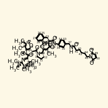 CC[C@H](C)[C@@H]([C@@H](CC(=O)N1CCC[C@H]1[C@H](OC)[C@@H](C)C(=O)N[C@@H](Cc1ccccc1)C(=O)Nc1ccc(CNC(=O)CCCCCN2C(=O)C=CC2=O)cc1)OC)N(C)C(=O)[C@@H](N=C(N(C)C)N(C)C)C(C)C